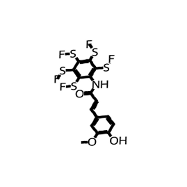 COc1cc(C=CC(=O)Nc2c(SF)c(SF)c(SF)c(SF)c2SF)ccc1O